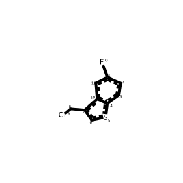 Fc1ccc2scc(CCl)c2c1